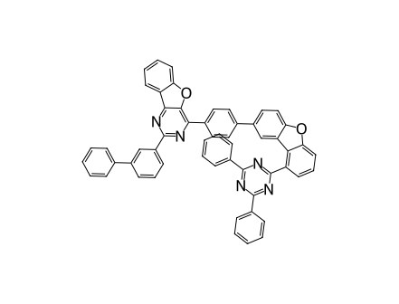 c1ccc(-c2cccc(-c3nc(-c4ccc(-c5ccc6oc7cccc(-c8nc(-c9ccccc9)nc(-c9ccccc9)n8)c7c6c5)cc4)c4oc5ccccc5c4n3)c2)cc1